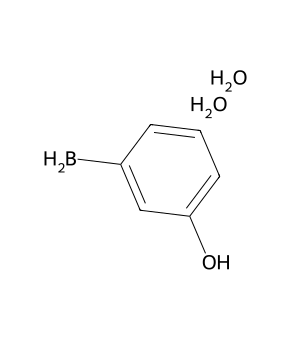 Bc1cccc(O)c1.O.O